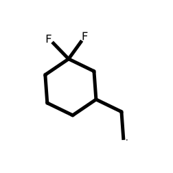 [CH2]CC1CCCC(F)(F)C1